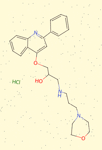 Cl.OC(CNCCCN1CCOCC1)COc1cc(-c2ccccc2)nc2ccccc12